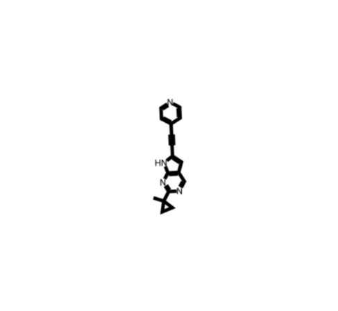 CC1(c2ncc3cc(C#Cc4ccncc4)[nH]c3n2)CC1